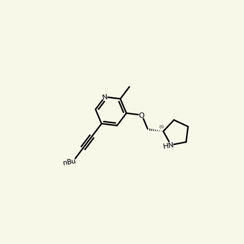 CCCCC#Cc1cnc(C)c(OC[C@@H]2CCCN2)c1